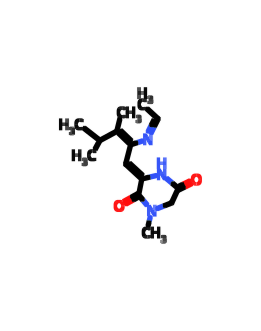 C\C=N/C(/C=C1\NC(=O)CN(C)C1=O)=C(\C)C(C)C